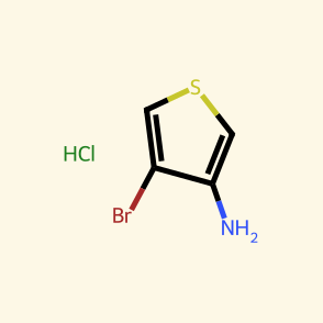 Cl.Nc1cscc1Br